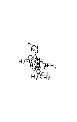 COc1ccccc1Oc1c(NS(=O)(=O)c2ccc(C(C)(C)C)cc2)nc(SCCN(C)C)nc1OCCOc1ncc(Br)cn1